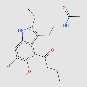 CCCC(=O)c1c(OC)c(Cl)cc2[nH]c(CC)c(CCNC(C)=O)c12